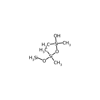 C[Si](C)(O)O[Si](C)(C)O[SiH3]